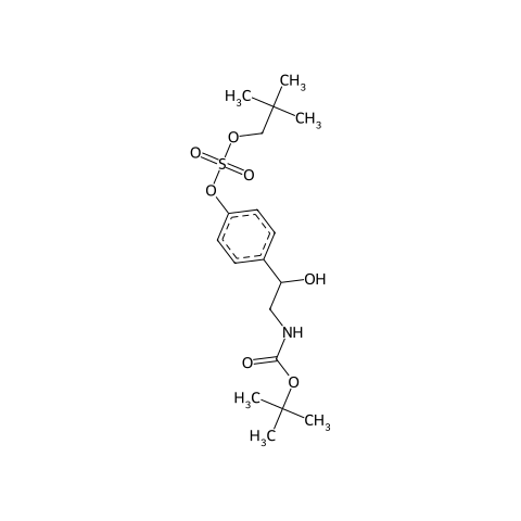 CC(C)(C)COS(=O)(=O)Oc1ccc(C(O)CNC(=O)OC(C)(C)C)cc1